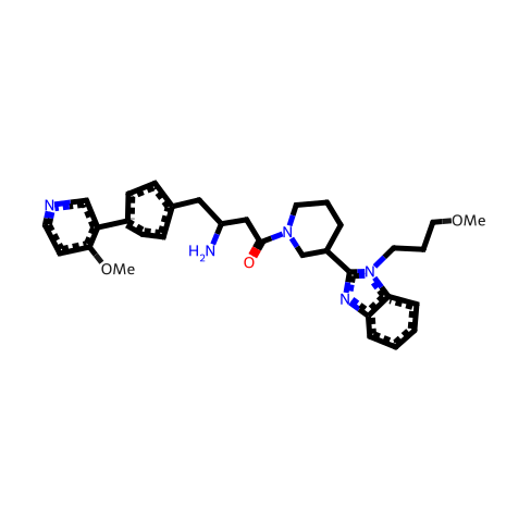 COCCCn1c(C2CCCN(C(=O)CC(N)Cc3ccc(-c4cnccc4OC)cc3)C2)nc2ccccc21